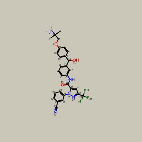 CC(C)(N)COc1ccc(C(O)c2cccc(NC(=O)c3cc(C(F)(F)F)nn3-c3cccc(C#N)c3)c2)cc1